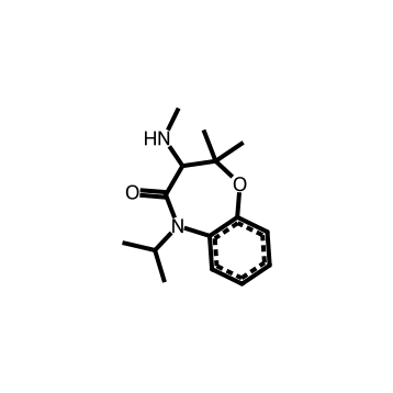 CNC1C(=O)N(C(C)C)c2ccccc2OC1(C)C